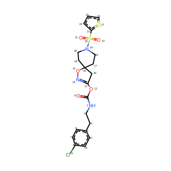 O=C(NCCc1ccc(Cl)cc1)OC1=NOC2(CCN(S(=O)(=O)c3cccs3)CC2)C1